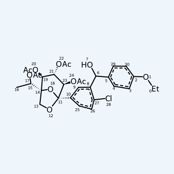 CCOc1ccc(C(O)c2cc([C@]34OC[C@](C(C)OC(C)=O)(O3)[C@@H](OC(C)=O)[C@H](OC(C)=O)[C@H]4OC(C)=O)ccc2Cl)cc1